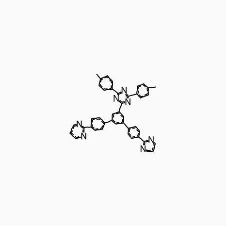 Cc1ccc(-c2nc(-c3ccc(C)cc3)nc(-c3cc(-c4ccc(-c5ncccn5)cc4)cc(-c4ccc(-c5ncccn5)cc4)c3)n2)cc1